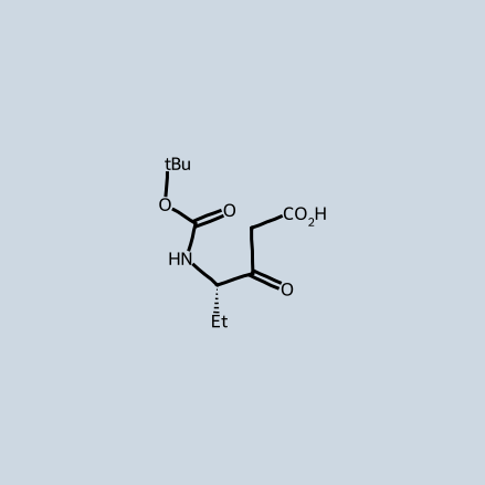 CC[C@H](NC(=O)OC(C)(C)C)C(=O)CC(=O)O